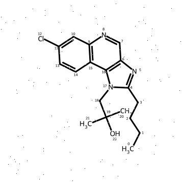 CCCCc1nc2cnc3cc(Cl)ccc3c2n1CC(C)(C)O